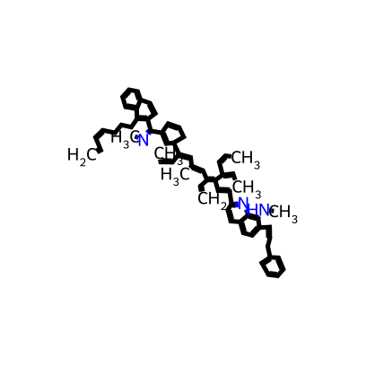 C=C/C=C\CCCc1c(/C(=N\C)C2=CC(C(/C=C\C)=C/C(C)=C/C(C=C)=C(/C=C/c3ccc4ccc(/C=C\Cc5ccccc5)c(NC)c4n3)C(\C=C/C)=C/C)CC=C2)ccc2ccccc12